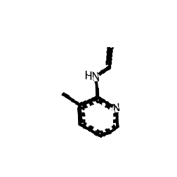 C=CNc1ncccc1C